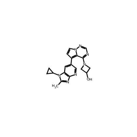 Cc1nc2ncc(-c3ccn4ncnc(N5CC(O)C5)c34)cc2n1C1CC1